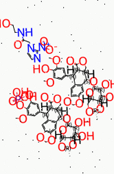 COc1cc([C@@H]2c3cc4c(cc3[C@@H](O[C@@H]3O[C@@H]5CO[C@@H](C)O[C@H]5[C@H](O)[C@H]3O)[C@H]3COC(=O)[C@H]23)OCO4)cc(OC)c1O.COc1cc([C@@H]2c3cc4c(cc3[C@@H](O[C@@H]3O[C@@H]5CO[C@@H](C)O[C@H]5[C@H](O)[C@H]3O)[C@H]3COC(=O)[C@H]23)OCO4)cc(OC)c1OP(=O)(O)O.O=C(Cn1ccnc1[N+](=O)[O-])NCCO